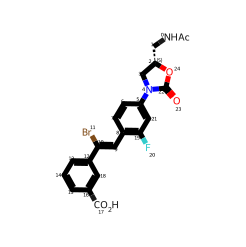 CC(=O)NC[C@H]1CN(c2ccc(C=C(Br)c3cccc(C(=O)O)c3)c(F)c2)C(=O)O1